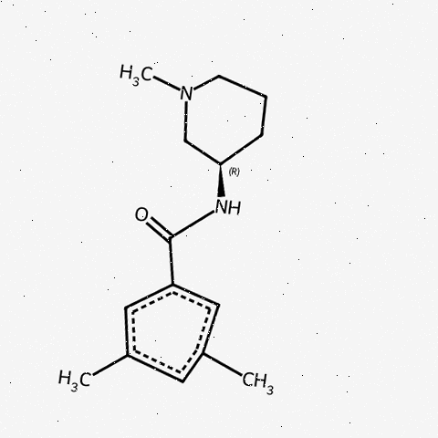 Cc1cc(C)cc(C(=O)N[C@@H]2CCCN(C)C2)c1